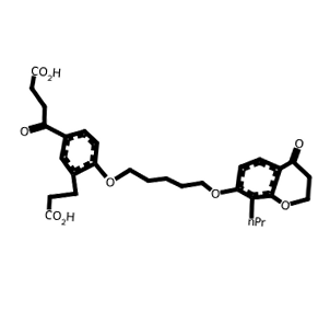 CCCc1c(OCCCCCOc2ccc(C(=O)CCC(=O)O)cc2CCC(=O)O)ccc2c1OCCC2=O